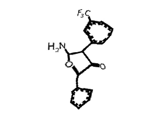 NC1OC(c2ccccc2)C(=O)C1c1cccc(C(F)(F)F)c1